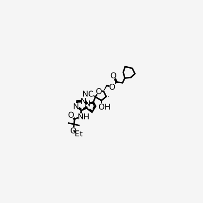 CCOC(C)(C)C(=O)Nc1ncnn2c([C@]3(C#N)O[C@@H](COC(=O)CC4CCCCC4)[CH][C@H]3O)ccc12